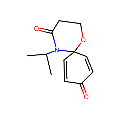 CC(C)N1C(=O)CCOC12C=CC(=O)C=C2